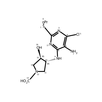 CCCSc1nc(Cl)c(N)c(N[C@@H]2CN(C(=O)O)C[C@H]2O)n1